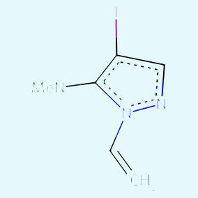 C=Cn1ncc(I)c1NC